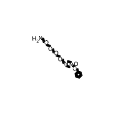 NCCOCCOCCOCCOCCN1CCN(C(=O)OCc2ccccc2)CC1